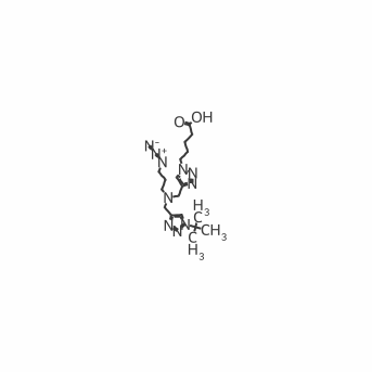 CC(C)(C)n1cc(CN(CCCN=[N+]=[N-])Cc2cn(CCCCC(=O)O)nn2)nn1